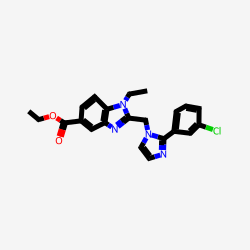 CCOC(=O)c1ccc2c(c1)nc(Cn1ccnc1-c1cccc(Cl)c1)n2CC